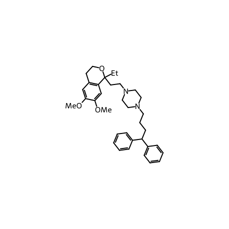 CCC1(CCN2CCN(CCCC(c3ccccc3)c3ccccc3)CC2)OCCc2cc(OC)c(OC)cc21